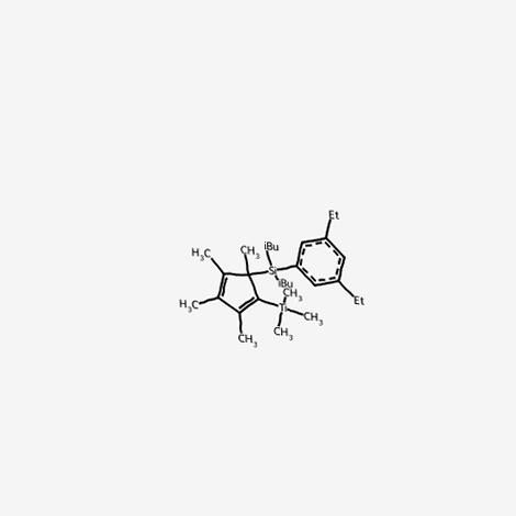 CCc1cc(CC)cc([Si](C(C)CC)(C(C)CC)C2(C)C(C)=C(C)C(C)=[C]2[Ti]([CH3])([CH3])[CH3])c1